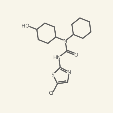 O=C(Nc1ncc(Cl)s1)N(C1CCCCC1)C1CCC(O)CC1